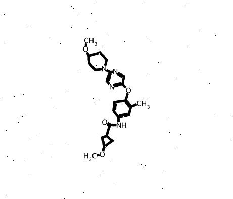 COC1CCN(c2cnc(Oc3ccc(NC(=O)C4CC(OC)C4)cc3C)cn2)CC1